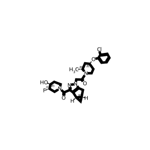 C[C@@H]1C[C@H](Oc2ccccc2Cl)CCN1C(=O)Cn1nc(C(=O)N2CC[C@@H](O)[C@@H](F)C2)c2c1C[C@H]1C[C@@H]21